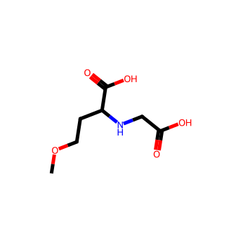 COCCC(NCC(=O)O)C(=O)O